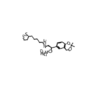 CC1(C)OCc2cc(C(CNCCCCCC3CCSS3)O[N+](=O)[O-])ccc2O1.Cl